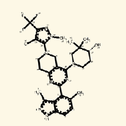 Cc1ccc2[nH]nc(C)c2c1-c1nc2c(c(N3CC[C@@H](O)C(C)(C)C3)n1)CN(c1c(Cl)c(C(F)(F)F)nn1C)CC2